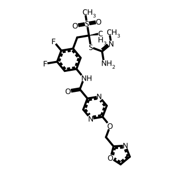 C/N=C(/N)S[C@](C)(Cc1cc(NC(=O)c2cnc(OCc3ncco3)cn2)cc(F)c1F)S(C)(=O)=O